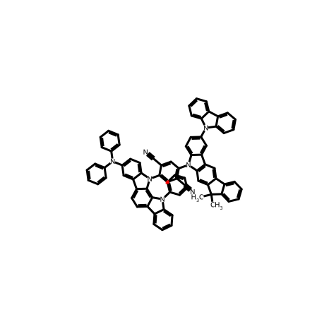 CC1(C)c2ccccc2-c2cc3c4cc(-n5c6ccccc6c6ccccc65)ccc4n(-c4cc(C#N)c(-n5c6ccc(N(c7ccccc7)c7ccccc7)cc6c6ccc7c8ccccc8n(-c8ccccc8)c7c65)cc4C#N)c3cc21